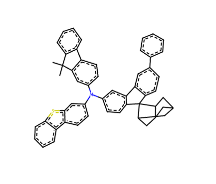 CC1(C)c2ccccc2-c2ccc(N(c3ccc4c(c3)-c3cc(-c5ccccc5)ccc3C43C4CC5CC(C4)C3C5)c3ccc4c(c3)sc3ccccc34)cc21